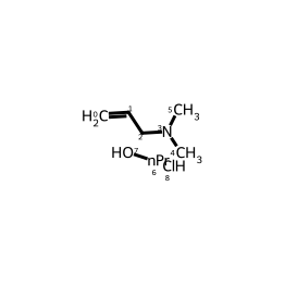 C=CCN(C)C.CCCO.Cl